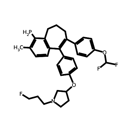 Cc1ccc2c(c1P)CCCC(c1ccc(OC(F)F)cc1)=C2c1ccc(OC2CCN(CCCF)C2)cc1